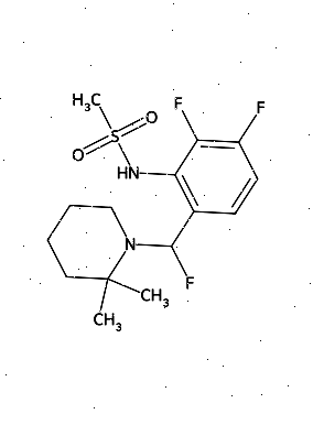 CC1(C)CCCCN1C(F)c1ccc(F)c(F)c1NS(C)(=O)=O